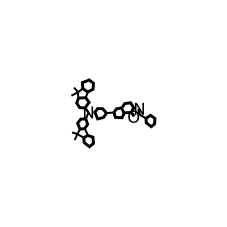 CC1(C)c2ccccc2-c2cc(N(c3ccc(-c4ccc5c(ccc6nc(-c7ccccc7)oc65)c4)cc3)c3ccc4c(c3)-c3ccccc3C4(C)C)ccc21